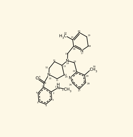 CNc1ccccc1C(=O)N1CCC(N(CC2=NCCC=C2C)Cc2ncccc2C)CC1